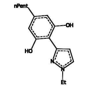 CCCCCc1cc(O)c(-c2ccn(CC)n2)c(O)c1